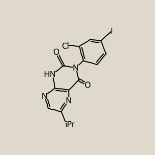 CC(C)c1cnc2[nH]c(=O)n(-c3ccc(I)cc3Cl)c(=O)c2n1